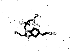 CC(C)Cc1nc2cc(/C=C/C=O)ccc2n1CC(C)(C)CN(C)C